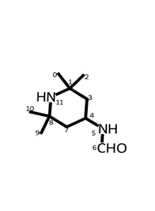 CC1(C)CC(NC=O)CC(C)(C)N1